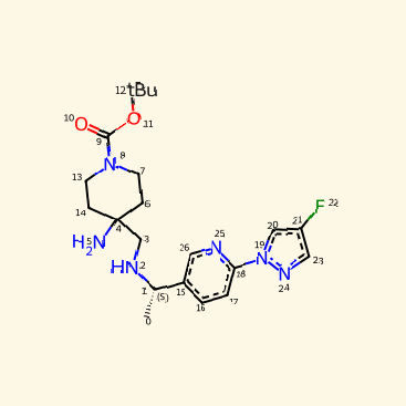 C[C@H](NCC1(N)CCN(C(=O)OC(C)(C)C)CC1)c1ccc(-n2cc(F)cn2)nc1